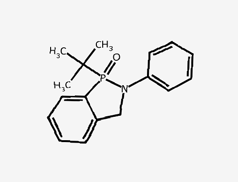 CC(C)(C)P1(=O)c2ccccc2CN1c1ccccc1